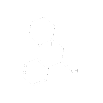 C=C(C[SiH]1CCCCO1)c1ccccc1